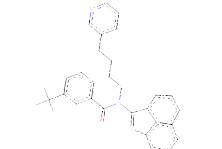 O=C(c1cccc(C(F)(F)F)c1)N(CCCCc1cccnc1)C1=Nc2cccc3cccc1c23